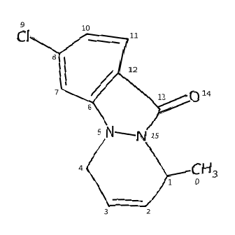 CC1C=CCn2c3cc(Cl)ccc3c(=O)n21